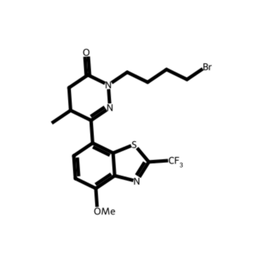 COc1ccc(C2=NN(CCCCBr)C(=O)CC2C)c2sc(C(F)(F)F)nc12